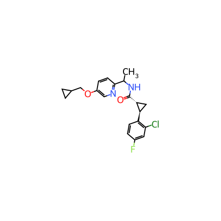 CC(NC(=O)[C@@H]1C[C@H]1c1ccc(F)cc1Cl)c1ccc(OCC2CC2)cn1